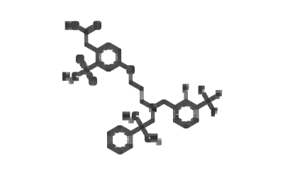 CC(C)(CN(CCCOc1ccc(CC(=O)O)c(S(C)(=O)=O)c1)Cc1cccc(C(F)(F)F)c1F)c1ccccc1